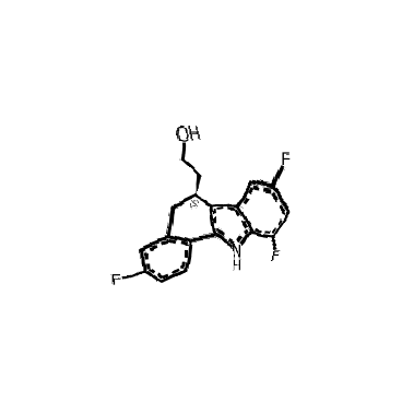 OCC[C@@H]1Cc2cc(F)ccc2-c2[nH]c3c(F)cc(F)cc3c21